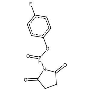 O=C1CCC(=O)N1[PH](=O)Oc1ccc(F)cc1